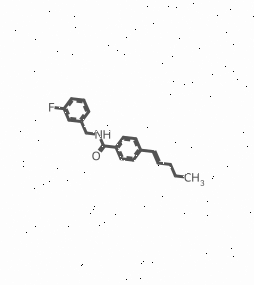 CCC/C=C/c1ccc(C(=O)NCc2cccc(F)c2)cc1